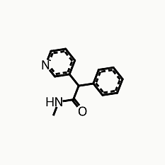 CNC(=O)C(c1ccccc1)c1cccnc1